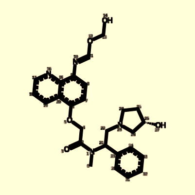 CN(C(=O)COc1ccc(N=COCO)c2ncccc12)C(CN1CC[C@H](O)C1)c1ccccc1